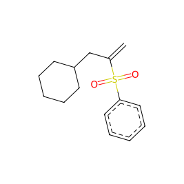 C=C(CC1CCCCC1)S(=O)(=O)c1ccccc1